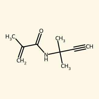 C#CC(C)(C)NC(=O)C(=C)C